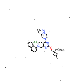 COCC1(COc2nc3c(c(N4CCN[C@@H](CC#N)C4)n2)CCN(c2cccc4cccc(Cl)c24)C3)CC(C)C1